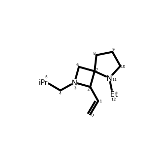 C=CC1N(CC(C)C)CC12CCCN2CC